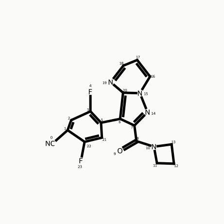 N#Cc1cc(F)c(-c2c(C(=O)N3CCC3)nn3cccnc23)cc1F